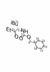 CCC(=O)[C@@H](NC(=O)OCc1ccccc1)[C@@H](C)CC